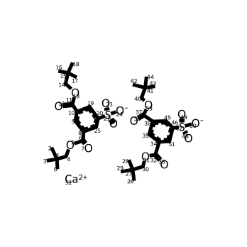 CC(C)(C)COC(=O)c1cc(C(=O)OCC(C)(C)C)cc(S(=O)(=O)[O-])c1.CC(C)(C)COC(=O)c1cc(C(=O)OCC(C)(C)C)cc(S(=O)(=O)[O-])c1.[Ca+2]